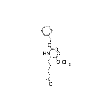 COC(=O)C(CCCC[C]=O)NC(=O)OCc1ccccc1